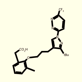 Cc1cccc(CC(=O)O)c1OCCCc1cn(-c2ccc(C(F)(F)F)nn2)nc1C(C)(C)C